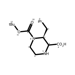 CC(C)C[C@H]1C(C(=O)O)NCCN1C(=O)OC(C)(C)C